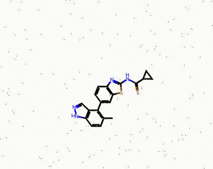 Cc1ccc2[nH]ncc2c1-c1ccc2nc(NC(=S)C3CC3)sc2c1